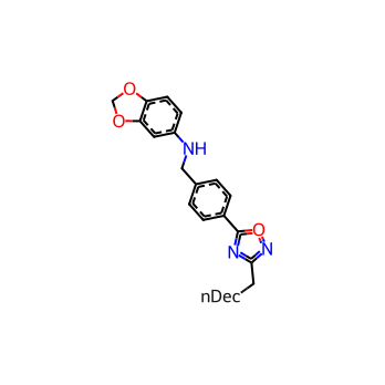 CCCCCCCCCCCc1noc(-c2ccc(CNc3ccc4c(c3)OCO4)cc2)n1